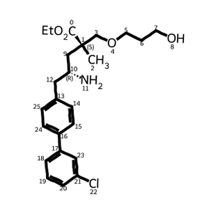 CCOC(=O)[C@](C)(COCCCO)C[C@H](N)Cc1ccc(-c2cccc(Cl)c2)cc1